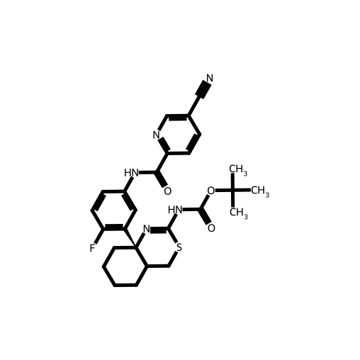 CC(C)(C)OC(=O)NC1=N[C@@]2(c3cc(NC(=O)c4ccc(C#N)cn4)ccc3F)CCCCC2CS1